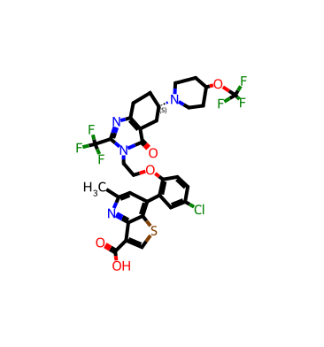 Cc1cc(-c2cc(Cl)ccc2OCCn2c(C(F)(F)F)nc3c(c2=O)C[C@@H](N2CCC(OC(F)(F)F)CC2)CC3)c2scc(C(=O)O)c2n1